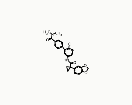 CN(C)C(=O)c1ccc(-c2cc(NC(=O)C3(c4ccc5c(c4)OCO5)CC3)ccc2Cl)cc1